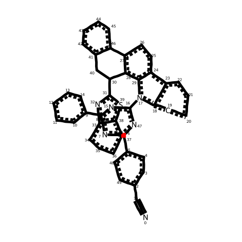 N#Cc1ccc(-c2nc(-c3ccccc3)nc(-n3c4ccccc4c4ccc5c(c43)C(c3nc4ccccc4s3)Cc3ccccc3-5)n2)cc1